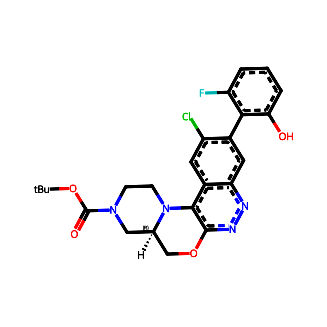 CC(C)(C)OC(=O)N1CCN2c3c(nnc4cc(-c5c(O)cccc5F)c(Cl)cc34)OC[C@H]2C1